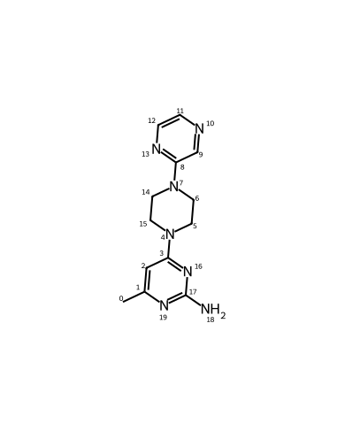 Cc1cc(N2CCN(c3cnccn3)CC2)nc(N)n1